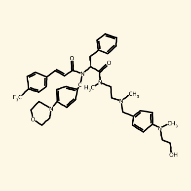 CN(CCN(C)C(=O)[C@H](Cc1ccccc1)N(Cc1ccc(N2CCOCC2)cc1)C(=O)/C=C/c1ccc(C(F)(F)F)cc1)Cc1ccc(N(C)CCO)cc1